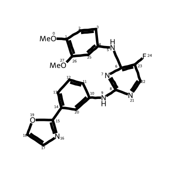 COc1ccc(Nc2nc(Nc3cccc(-c4ncco4)c3)ncc2F)cc1OC